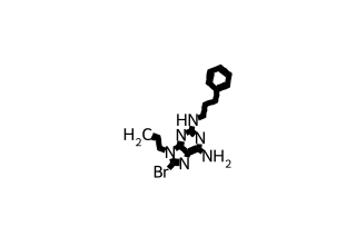 C=CCn1c(Br)nc2c(N)nc(NCCCc3ccccc3)nc21